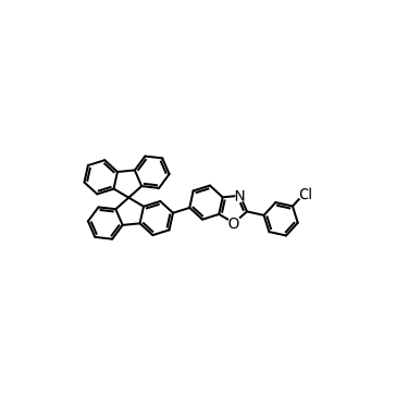 Clc1cccc(-c2nc3ccc(-c4ccc5c(c4)C4(c6ccccc6-c6ccccc64)c4ccccc4-5)cc3o2)c1